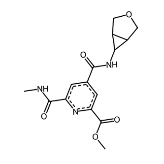 CNC(=O)c1cc(C(=O)NC2C3COCC32)cc(C(=O)OC)n1